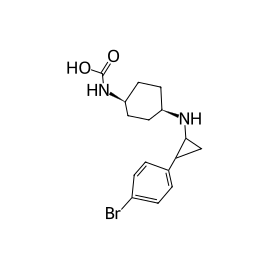 O=C(O)N[C@H]1CC[C@@H](NC2CC2c2ccc(Br)cc2)CC1